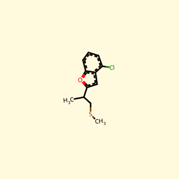 CSCC(C)c1cc2c(Cl)cccc2o1